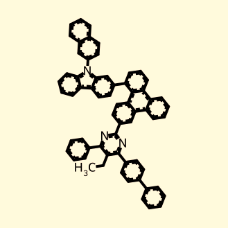 CCc1c(-c2ccccc2)nc(-c2ccc3c(c2)c2ccccc2c2cccc(-c4ccc5c6ccccc6n(-c6ccc7ccccc7c6)c5c4)c23)nc1-c1ccc(-c2ccccc2)cc1